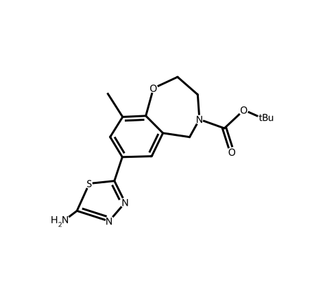 Cc1cc(-c2nnc(N)s2)cc2c1OCCN(C(=O)OC(C)(C)C)C2